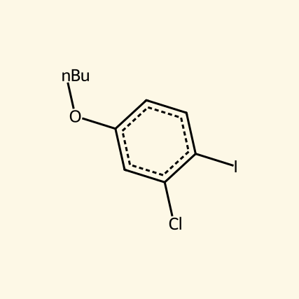 CCCCOc1ccc(I)c(Cl)c1